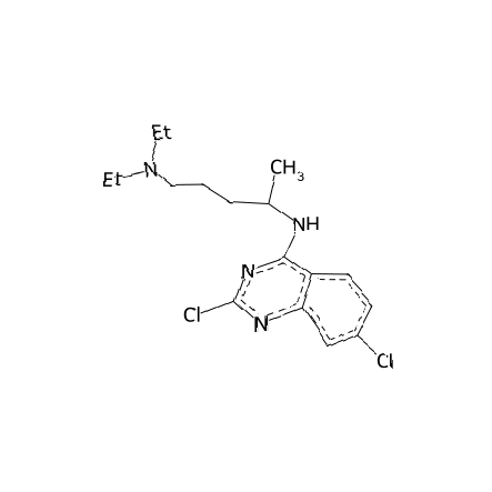 CCN(CC)CCCC(C)Nc1nc(Cl)nc2cc(Cl)ccc12